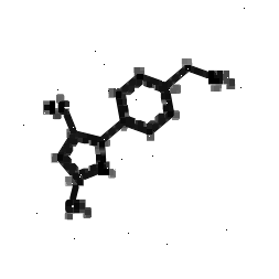 Cc1cn(C)nc1-c1ccc(CN)cc1